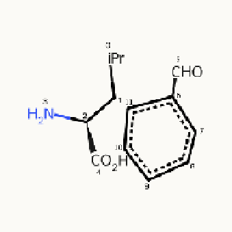 CC(C)C[C@H](N)C(=O)O.O=Cc1ccccc1